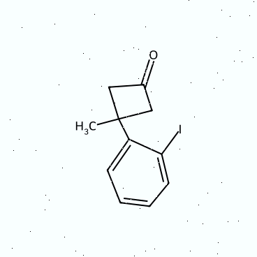 CC1(c2ccccc2I)CC(=O)C1